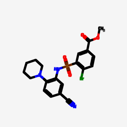 COC(=O)c1ccc(Br)c(S(=O)(=O)Nc2cc(C#N)ccc2N2CCCCC2)c1